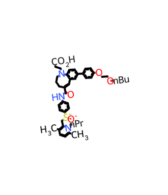 CCCCOCCOc1ccc(-c2ccc3c(c2)/C=C(/C(=O)Nc2ccc([S@@+]([O-])CC4=C(C)C=C=C(C)N4CCC)cc2)CCCN3CCC(=O)O)cc1